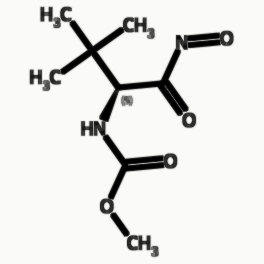 COC(=O)N[C@H](C(=O)N=O)C(C)(C)C